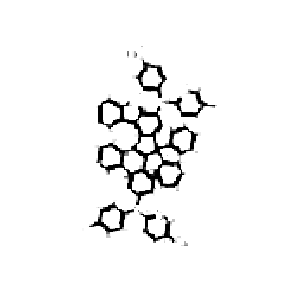 Cc1ccc(N(c2ccc(C(C)(C)C)cc2)c2cc3c(c4c2oc2ccccc24)-c2c(c4ccc(N(c5ccc(C(C)(C)C)cc5)c5ccc(C(C)(C)C)cn5)cc4c4ccccc24)C3(c2ccccc2)c2ccccc2)nc1